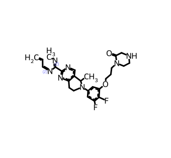 C=C/C=N\C(=N/C)c1ncc2c(n1)CCN(c1cc(F)c(F)c(OCCCN3CCNCC3=O)c1)C2C